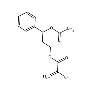 C=C(C)C(=O)OCCC(OC(N)=O)c1ccccc1